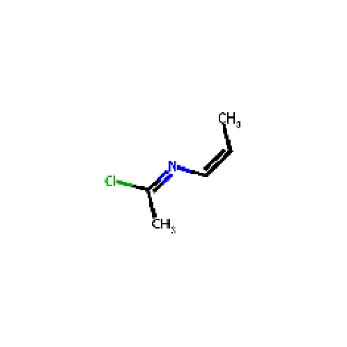 C/C=C\N=C(/C)Cl